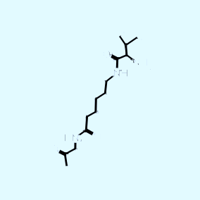 CC(=O)CNC(=O)CCCCCNC(=O)C(N)C(C)C